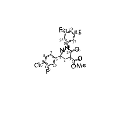 COC(=O)C1CC(c2ccc(Cl)c(F)c2)=NN(c2cc(F)cc(F)c2)C1=O